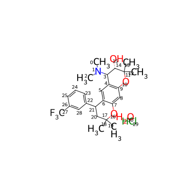 CN(C)C1c2cc3c(cc2OC(C)(C)[C@H]1O)OC(C)(C)CC3c1cccc(C(F)(F)F)c1.Cl.O